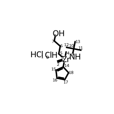 Cl.Cl.[CH2]=[Zr]([CH3])([CH2]CCO)([NH]C(C)(C)C)[C]1=CC=CC1